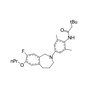 CCCOc1cc2c(cc1F)CN(c1cc(C)c(NC(=O)CC(C)(C)C)c(C)c1)CCC2